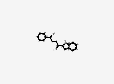 O=C(CCC(=O)c1cc2ccccc2s1)c1ccccc1